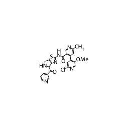 COc1cnc(Cl)cc1-c1cc(C)ncc1C(=O)Nc1nc2c(s1)CNC2C(=O)c1cccnc1